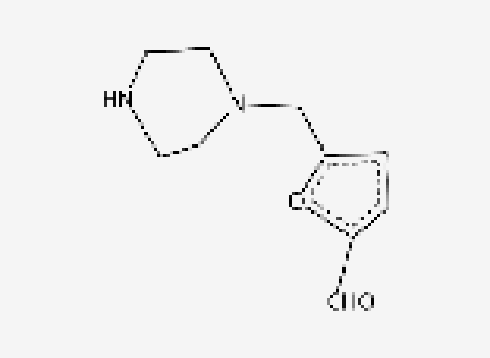 O=Cc1ccc(CN2CCNCC2)o1